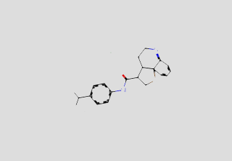 CC(C)c1ccc(NC(=O)C2CSC34C=CC=CC3=NCCC24)cc1.Cl